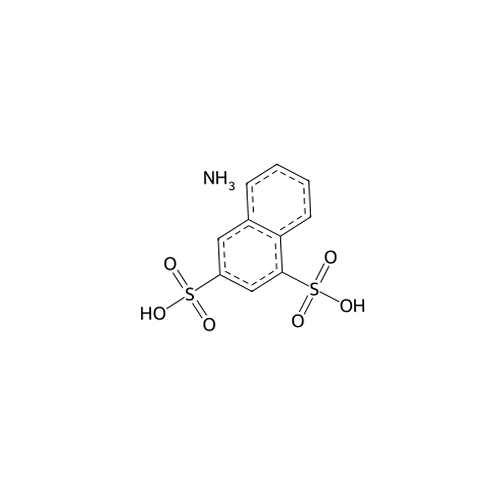 N.O=S(=O)(O)c1cc(S(=O)(=O)O)c2ccccc2c1